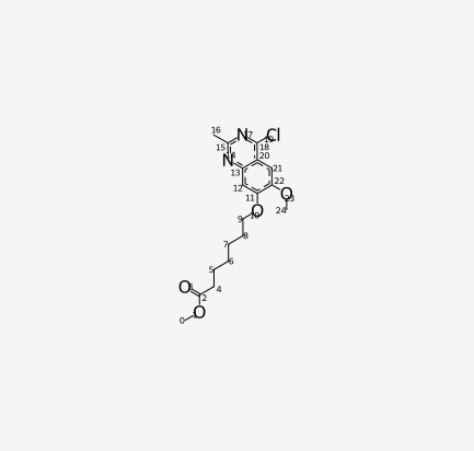 COC(=O)CCCCCCOc1cc2nc(C)nc(Cl)c2cc1OC